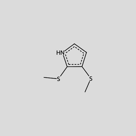 CSc1cc[nH]c1SC